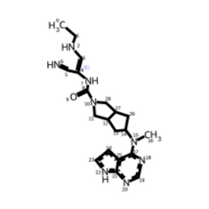 CCN/C=C(\C=N)NC(=O)N1CC2CC(N(C)c3ncnc4[nH]ccc34)CC2C1